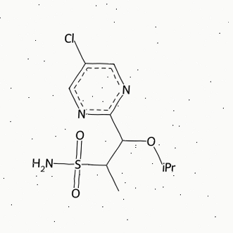 CC(C)OC(c1ncc(Cl)cn1)C(C)S(N)(=O)=O